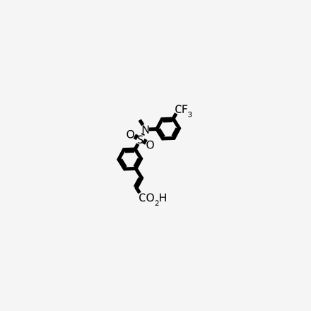 CN(c1cccc(C(F)(F)F)c1)S(=O)(=O)c1cccc(/C=C/C(=O)O)c1